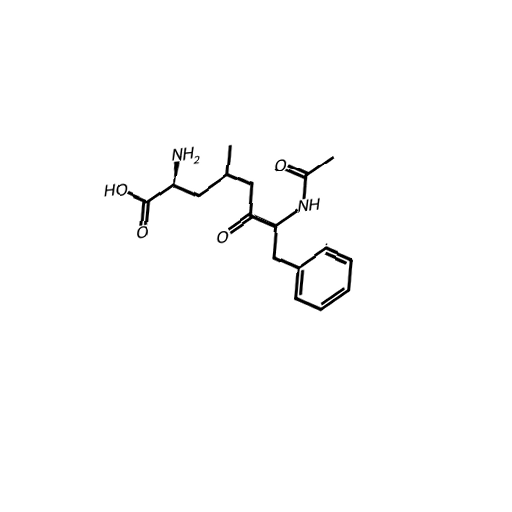 CC(=O)NC(Cc1[c]cccc1)C(=O)CC(C)C[C@H](N)C(=O)O